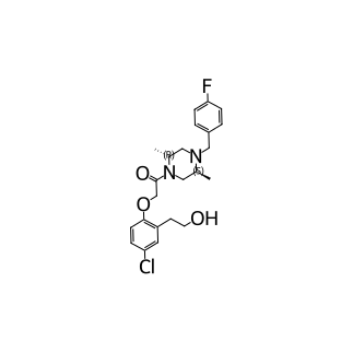 C[C@@H]1CN(Cc2ccc(F)cc2)[C@@H](C)CN1C(=O)COc1ccc(Cl)cc1CCO